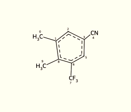 Cc1cc(C#N)cc(C(F)(F)F)c1C